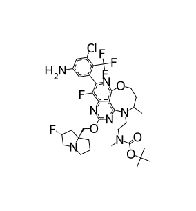 CC1CCOc2nc(-c3cc(N)cc(Cl)c3C(F)(F)F)c(F)c3nc(OC[C@@]45CCCN4C[C@H](F)C5)nc(c23)N1CCN(C)C(=O)OC(C)(C)C